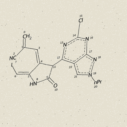 C=C(C#N)/C=C1\C(=C/I)NC(=O)C1c1nc(Cl)nc2nn(CCC)cc12